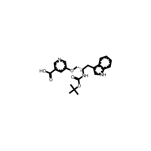 CC(C)(C)OC(=O)N[C@H](COc1cncc(C(=O)O)c1)Cc1c[nH]c2ccccc12